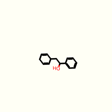 OC(CC1C=CCC=C1)c1ccccc1